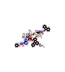 COc1ccc(C(OCC2OC(n3cnc4c(NC(=O)COc5ccccc5)ncnc43)C(OC)C2OP(OCCSC(=O)C(C)(C)CNC(=O)OCC2c3ccccc3-c3ccccc32)N(C(C)C)C(C)C)(c2ccccc2)c2ccc(OC)cc2)cc1